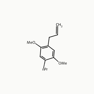 C=CCc1cc(OC)c(CCC)cc1OC